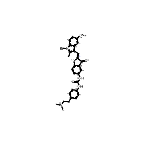 CCn1c(C)c(/C=C2\Oc3ccc(NC(=O)Nc4ccc(CCN(C)C)cc4)cc3C2=O)c2cc(OC)ccc21